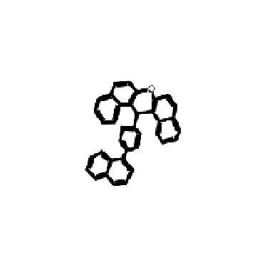 c1ccc2c(-c3ccc(C4c5c(ccc6ccccc56)Oc5ccc6ccccc6c54)cc3)cccc2c1